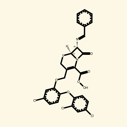 O=C(OO)C1=C(COc2cc(Cl)ccc2Oc2ccc(Cl)cc2Cl)CS[C@H]2[C@H](N=Cc3ccccc3)C(=O)N12